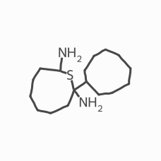 NC1CCCCCCC(N)(C2CCCCCCCC2)S1